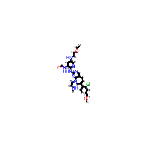 C\C=C(C1=CCc2cnc(Nc3ncc(NCCOCC)cc3NC=O)nc2N(/C=C\NC)C1)/C(Cl)=C\C=C\OC